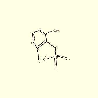 O=S(=O)(Cl)Cc1c(F)cccc1Cl